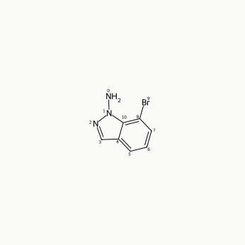 Nn1ncc2cccc(Br)c21